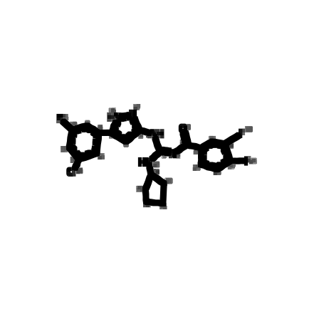 O=C(/N=C(\Nc1cc(-c2cc(F)cc(Cl)c2)[nH]n1)NC1CCCC1)c1ccc(F)c(F)c1